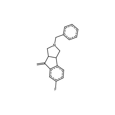 C=C1c2cc(F)ccc2C2CN(Cc3ccccc3)CC12